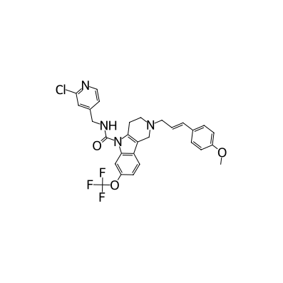 COc1ccc(/C=C/CN2CCc3c(c4ccc(OC(F)(F)F)cc4n3C(=O)NCc3ccnc(Cl)c3)C2)cc1